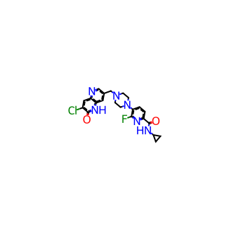 O=C(NC1CC1)c1ccc(N2CCN(Cc3cnc4cc(Cl)c(=O)[nH]c4c3)CC2)c(F)n1